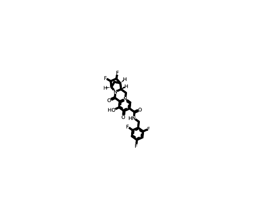 O=C(NCc1c(F)cc(F)cc1F)c1cn2c(c(O)c1=O)C(=O)N1[C@@H]3C[C@@H](C(F)C3F)[C@@H]1C2